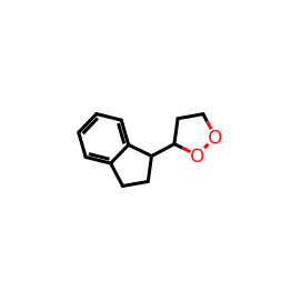 c1ccc2c(c1)CCC2C1CCOO1